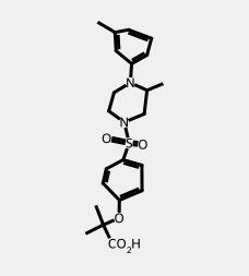 Cc1cccc(N2CCN(S(=O)(=O)c3ccc(OC(C)(C)C(=O)O)cc3)CC2C)c1